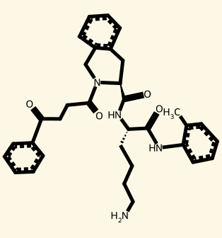 Cc1ccccc1NC(=O)[C@H](CCCCN)NC(=O)[C@@H]1Cc2ccccc2CN1C(=O)CCC(=O)c1ccccc1